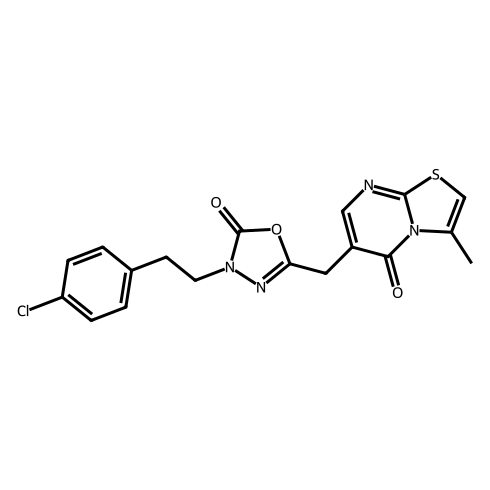 Cc1csc2ncc(Cc3nn(CCc4ccc(Cl)cc4)c(=O)o3)c(=O)n12